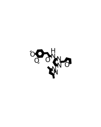 COc1ccc(CC(=O)Nc2cc(-n3nc(C)cc3C)nc(-c3ccco3)n2)cc1OC